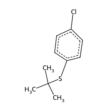 CC(C)(C)Sc1ccc(Cl)cc1